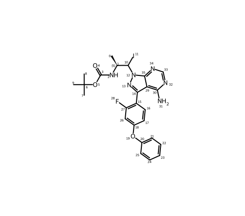 C[C@H](NC(=O)OC(C)(C)C)C(I)n1nc(-c2ccc(Oc3ccccc3)cc2F)c2c(N)ncnc21